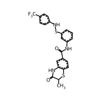 CC1Sc2ccc(C(=O)Nc3cccc(SNc4ccc(C(F)(F)F)cc4)c3)cc2NC1=O